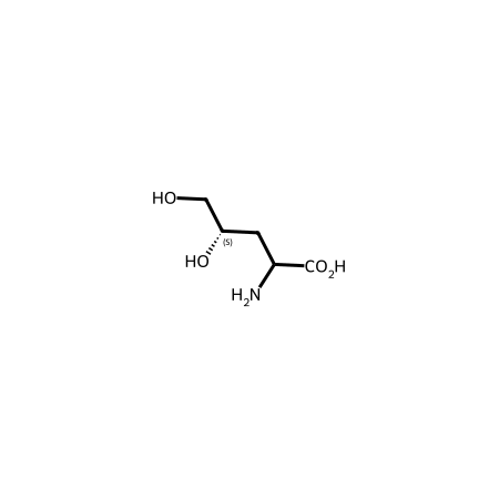 NC(C[C@H](O)CO)C(=O)O